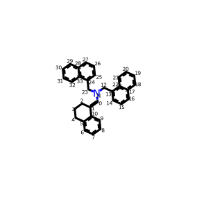 C(=C1/CCCc2ccccc21)/N(Cc1cccc2ccccc12)Cc1cccc2ccccc12